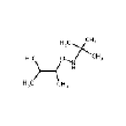 CC(C)C(C)ONC(C)(C)C